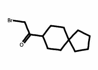 O=C(CBr)C1CCC2(CCCC2)CC1